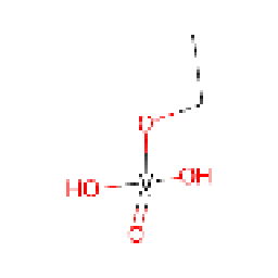 CC[O][V](=[O])([OH])[OH]